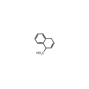 O=C(O)C1C=CCc2ccccc21